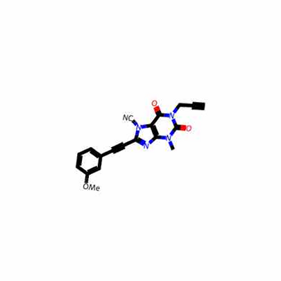 C#CCn1c(=O)c2c(nc(C#Cc3cccc(OC)c3)n2C#N)n(C)c1=O